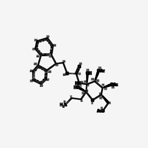 CC(=O)OC[C@H]1O[C@](O)(CCN)[C@](O)(NC(=O)OCC2c3ccccc3-c3ccccc32)[C@@H](OC(C)=O)[C@H]1OC(C)=O